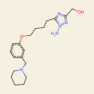 Nn1nc(CO)nc1CCCCOc1cccc(CN2CCCCC2)c1